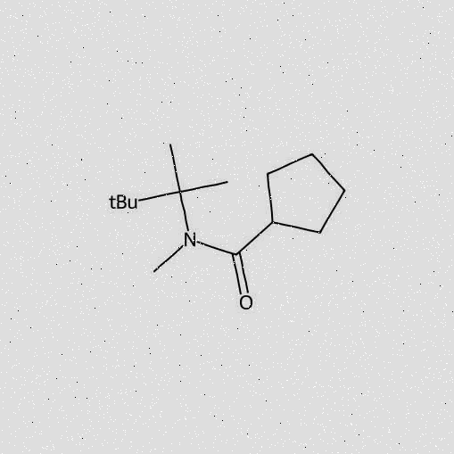 CN(C(=O)C1CCCC1)C(C)(C)C(C)(C)C